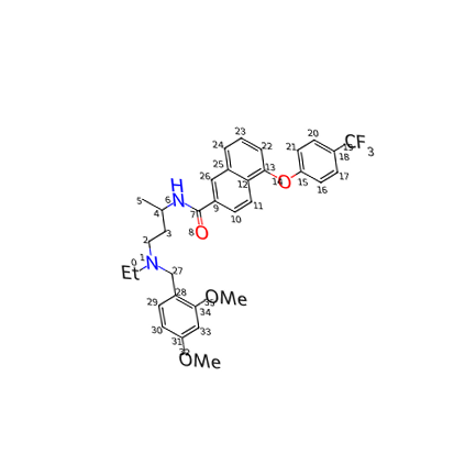 CCN(CCC(C)NC(=O)c1ccc2c(Oc3ccc(C(F)(F)F)cc3)cccc2c1)Cc1ccc(OC)cc1OC